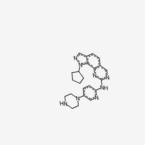 c1cc(Nc2ncc3ccc4cnn(C5CCCC5)c4c3n2)ncc1N1CCNCC1